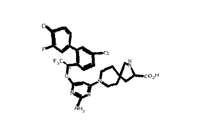 Nc1nc(O[C@H](c2ccc(Cl)cc2-c2ccc(Cl)c(F)c2)C(F)(F)F)cc(N2CCC3(CC2)CNC(C(=O)O)C3)n1